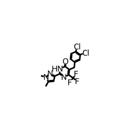 Cc1cc(-c2nc(C(F)(F)F)c(Cc3ccc(Cl)c(Cl)c3)c(=O)[nH]2)nn1C